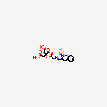 O=C(O)CC1(CC(=O)O)OB(C/N=C/C(CC2=CC=CCC2)NP)OC1=O